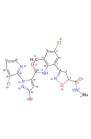 CCC(C)NC(=O)C1CC(c2cc(Cl)cc(C)c2NC(=O)c2cc(Br)nn2-c2ncccc2Cl)=NO1